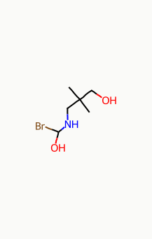 CC(C)(CO)CNC(O)Br